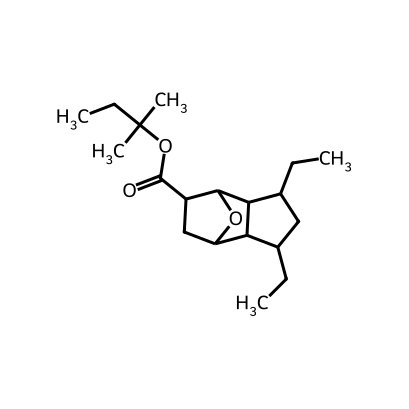 CCC1CC(CC)C2C3OC(CC3C(=O)OC(C)(C)CC)C12